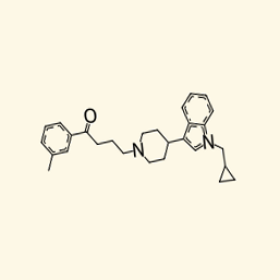 Cc1cccc(C(=O)CCCN2CCC(c3cn(CC4CC4)c4ccccc34)CC2)c1